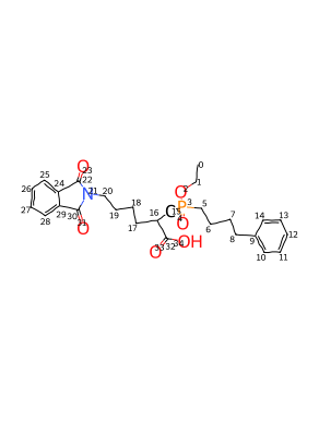 CCOP(=O)(CCCCc1ccccc1)CC(CCCCN1C(=O)c2ccccc2C1=O)C(=O)O